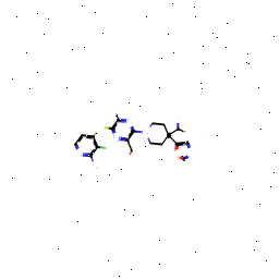 Cc1nc(N2CCC(c3cnco3)(C(C)N)CC2)c(CO)nc1Sc1ccnc(N)c1Cl